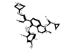 C[C@H]1CCc2c(ccc(/C(C=N)=C/NC3CNC3)c2Oc2ccc(F)cc2F)N1C(=O)C1CC1